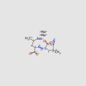 CC(C#N)CC(N=NC(CC(C)C#N)C(=O)[O-])C(=O)[O-].[Na+].[Na+]